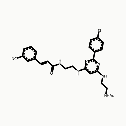 CC(=O)NCCNc1cc(NCCNC(=O)C=Cc2cccc(C#N)c2)nc(-c2ccc(Cl)cc2)n1